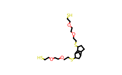 SCCOCCOCCSC1CC2CC1C1C(SCCOCCOCCS)CCC21